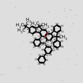 CC(C)(C)c1ccc2c(c1)C(C)(C)c1cccc(-c3ccccc3N(c3cccc(-c4ccccc4)c3)c3ccc4c(c3)C(C)(c3ccccc3)c3ccccc3-4)c1-2